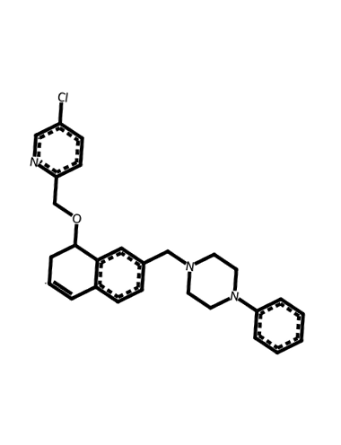 Clc1ccc(COC2C[C]=Cc3ccc(CN4CCN(c5ccccc5)CC4)cc32)nc1